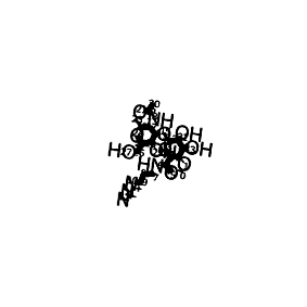 CO[C@@H]1C(C(=O)NCCCN=[N+]=[N-])O[C@@H](O[C@@H]2C(NC(C)=O)[C@H](C)OC(CO)[C@H]2O)C(O)[C@H]1O